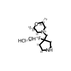 C[C@@H]1CN(CC2(F)CCNCC2)C[C@H](C)O1.Cl.Cl